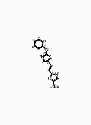 CC(C)(C)c1cnc(C=Cc2cnc(Nc3ccccc3)s2)o1